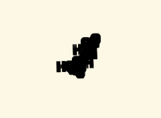 COc1ccc(Cn2nc(N[C@H](C)CO)c3c(Oc4ccc(NC(=O)c5cc6c(O)cccc6n(-c6ccccc6)c5=O)cc4F)ccnc32)cc1